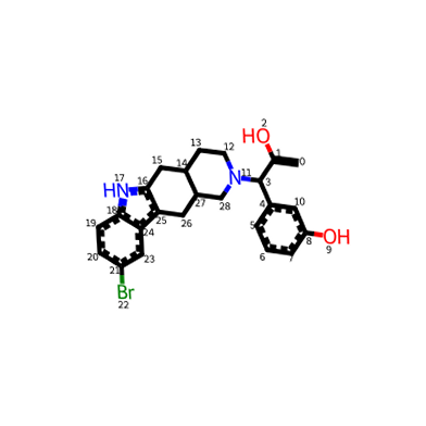 C=C(O)C(c1cccc(O)c1)N1CCC2Cc3[nH]c4ccc(Br)cc4c3CC2C1